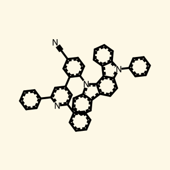 N#Cc1ccc(-n2c3ccccc3c3ccc4c(c5ccccc5n4-c4ccccc4)c32)c(-c2cc(-c3ccccc3)nc(-c3ccccc3)c2)c1